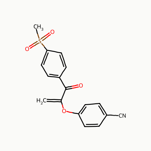 C=C(Oc1ccc(C#N)cc1)C(=O)c1ccc(S(C)(=O)=O)cc1